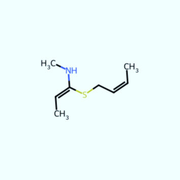 C/C=C\CS/C(=C\C)NC